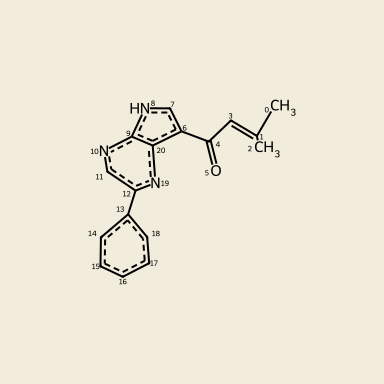 CC(C)=CC(=O)c1c[nH]c2ncc(-c3ccccc3)nc12